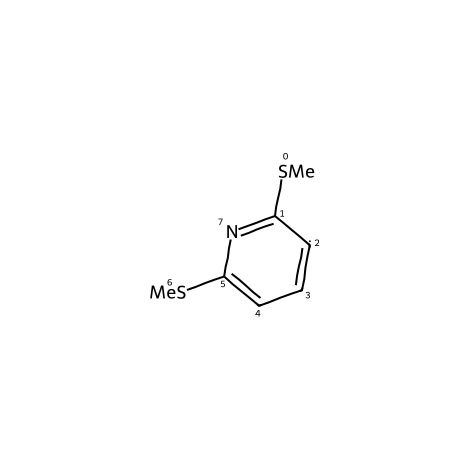 CSc1[c]ccc(SC)n1